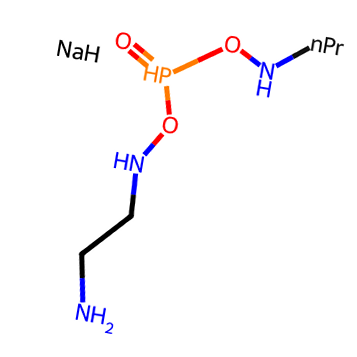 CCCNO[PH](=O)ONCCN.[NaH]